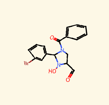 O=CC1CN(C(=O)c2ccccc2)C(c2cccc(Br)c2)N1O